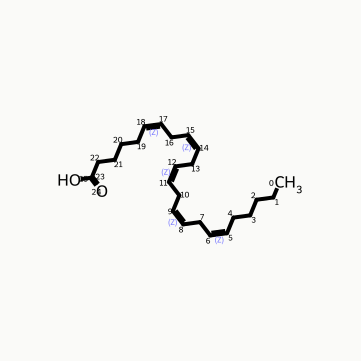 CCCCC/C=C\C/C=C\C/C=C\C/C=C\C/C=C\CCCCC(=O)O